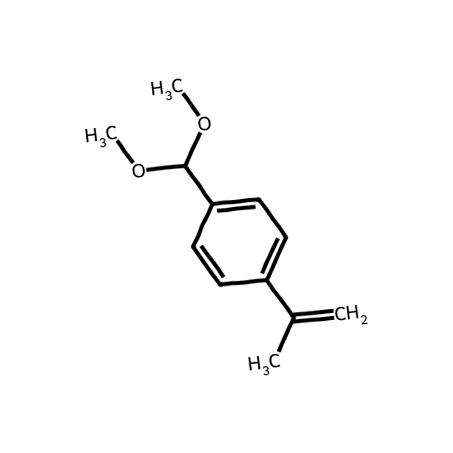 C=C(C)c1ccc(C(OC)OC)cc1